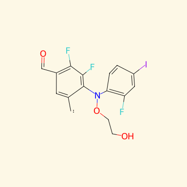 [CH]c1cc(C=O)c(F)c(F)c1N(OCCO)c1ccc(I)cc1F